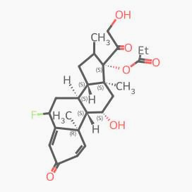 CCC(=O)O[C@@]1(C(=O)CO)C(C)C[C@H]2[C@@H]3CC(F)C4=CC(=O)C=C[C@]4(C)[C@H]3[C@@H](O)C[C@@]21C